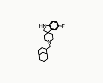 Fc1ccc2c(c1)C1(CCN(CC3CCC4CCCC3C4)CC1)CN2